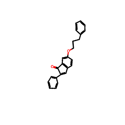 O=C1C(c2ccccc2)=Cc2ccc(OCCCc3ccccc3)cc21